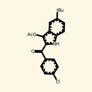 CC(=O)Oc1c(C(=O)c2ccc(Cl)cc2)[nH]c2ccc(C(C)(C)C)cc12